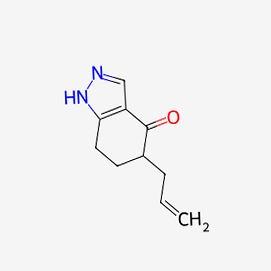 C=CCC1CCc2[nH]ncc2C1=O